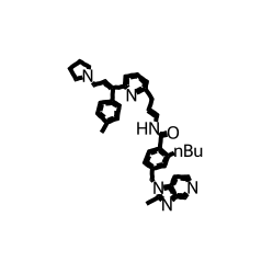 CCCCc1cc(Cn2c(C)nc3cnccc32)ccc1C(=O)NC=CCc1cccc(C(=CCN2CCCC2)c2ccc(C)cc2)n1